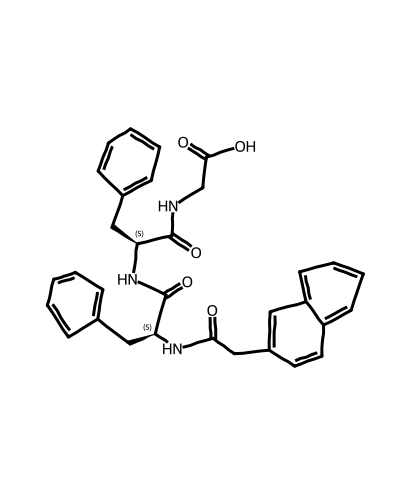 O=C(O)CNC(=O)[C@H](Cc1ccccc1)NC(=O)[C@H](Cc1ccccc1)NC(=O)Cc1ccc2ccccc2c1